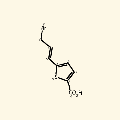 O=C(O)c1ccc(C=CCBr)s1